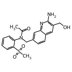 CC(=O)N(Cc1ccc2cc(CO)c(N)nc2c1)c1ccccc1S(C)(=O)=O